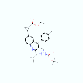 CCOC(=O)C1CC1c1ccc2nc(CC(C)C)c(CNC(=O)OC(C)(C)C)c(-c3ccc(C)cc3)c2c1